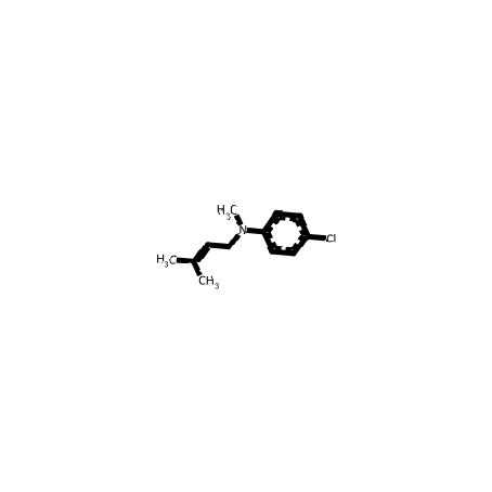 CC(C)=CCN(C)c1ccc(Cl)cc1